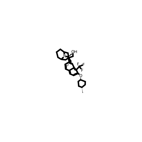 C[C@@H](c1ccc2ccc(O[C@H]3CC[C@@H](C)CC3)c(C(F)(F)F)c2c1)N1C2CCCC1CC(C=O)(CO)C2